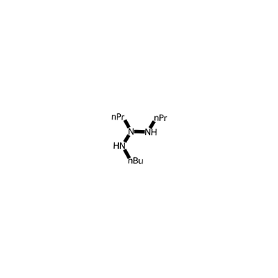 CCCCNN(CCC)NCCC